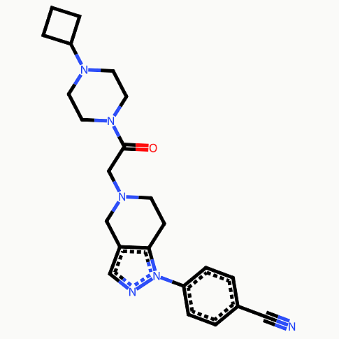 N#Cc1ccc(-n2ncc3c2CCN(CC(=O)N2CCN(C4CCC4)CC2)C3)cc1